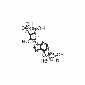 O=P(O)(O)OC1C(O)[C@H](n2cnc3c(OP(=O)(O)OP(=O)(O)O)ncnc32)O[C@@H]1CO